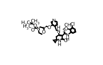 COc1c(Cl)cccc1NC(=S)C1=C(NCc2ccncc2OC[C@@H]2CN(C(=O)OC(C)(C)C)CCO2)CC2(CC2)NC1=O